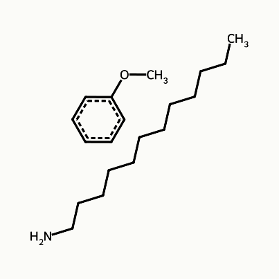 CCCCCCCCCCCCN.COc1ccccc1